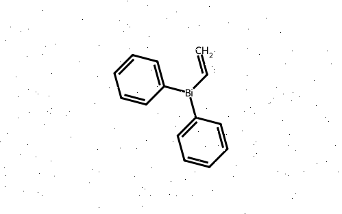 C=[CH][Bi]([c]1ccccc1)[c]1ccccc1